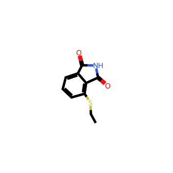 CCSc1cccc2c1C(=O)NC2=O